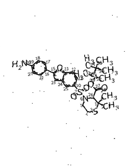 CC1(C)SCCN(S(=O)(=O)c2ccc3oc(-c4ccc(N)cc4)cc3c2)C1C(=O)O[Si](C)(C)C(C)(C)C